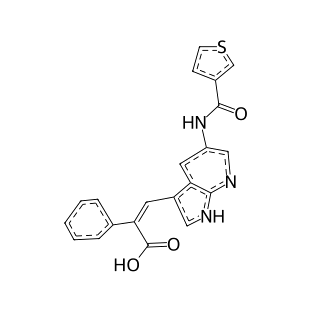 O=C(O)C(=Cc1c[nH]c2ncc(NC(=O)c3ccsc3)cc12)c1ccccc1